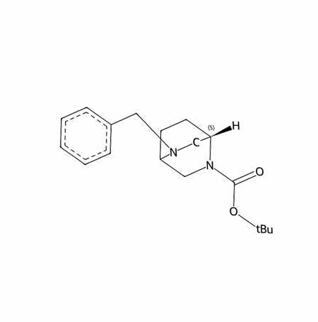 CC(C)(C)OC(=O)N1CC2CC[C@H]1CN2Cc1ccccc1